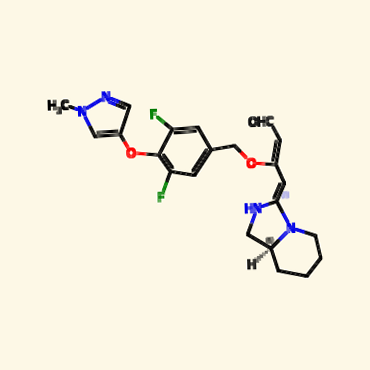 Cn1cc(Oc2c(F)cc(COC(=CC=O)/C=C3\NC[C@@H]4CCCCN34)cc2F)cn1